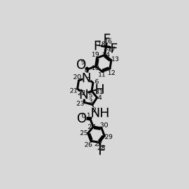 O=C(N[C@H]1C[C@H]2CN(C(=O)c3cccc(C(F)(F)F)c3)CCN2C1)c1ccc(F)cc1